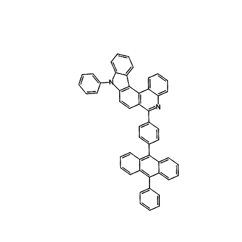 c1ccc(-c2c3ccccc3c(-c3ccc(-c4nc5ccccc5c5c4ccc4c5c5ccccc5n4-c4ccccc4)cc3)c3ccccc23)cc1